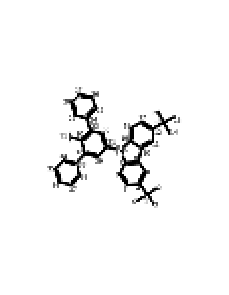 CC(C)(C)c1ccc2c(c1)c1cc(C(C)(C)C)ccc1n2-c1cc(-c2ccccc2)c(I)c(-c2ccccc2)c1